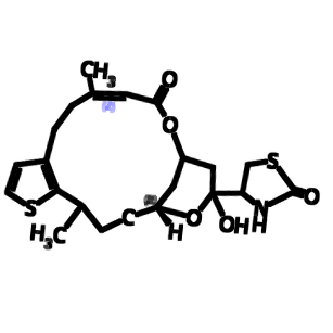 C/C1=C/C(=O)OC2C[C@@H](CCC(C)c3sccc3CC1)OC(O)(C1CSC(=O)N1)C2